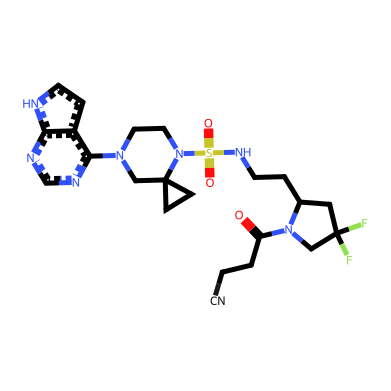 N#CCCC(=O)N1CC(F)(F)CC1CCNS(=O)(=O)N1CCN(c2ncnc3[nH]ccc23)CC12CC2